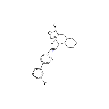 O=C1OC[C@@H]2C(/C=C/c3ccc(-c4cccc(Cl)c4)cn3)C3CCCCC3CN12